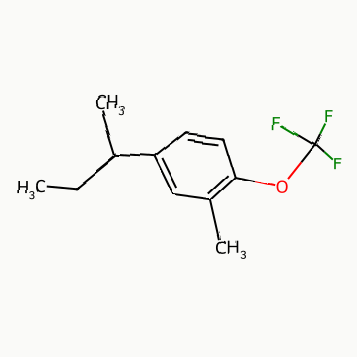 CCC(C)c1ccc(OC(F)(F)F)c(C)c1